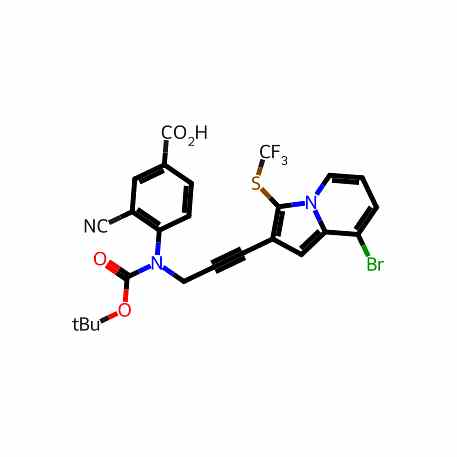 CC(C)(C)OC(=O)N(CC#Cc1cc2c(Br)cccn2c1SC(F)(F)F)c1ccc(C(=O)O)cc1C#N